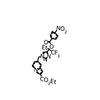 CCOC(=O)c1cc2cc(Cn3cc(C(CC)(OC(=O)c4ccc([N+](=O)[O-])cc4)C(F)(F)F)nn3)ccn2c1